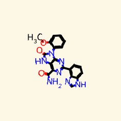 COc1ccccc1-n1c(=O)[nH]c2c(C(N)=O)nc(-c3cccc4[nH]cnc34)nc21